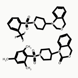 Cc1cc(C)c(S(=O)(=O)N2CCC(N3C(=O)OCc4ccccc43)CC2)c(C)c1.O=S(=O)(c1ccccc1C(F)(F)F)N1CCC(N2COCc3ccccc32)CC1